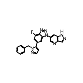 Fc1cc(-c2ccnn2Cc2ccccc2)cc2c1nnn2-c1cnc2cn[nH]c2c1